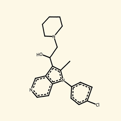 Cc1c(C(O)CN2CCCCC2)c2cnccc2n1-c1ccc(Cl)cc1